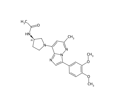 COc1ccc(-c2cnc3c(N4CC[C@@H](NC(C)=O)C4)cc(C)nn23)cc1OC